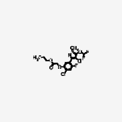 CCCOC(=O)COc1cc(-c2nn(C)c(OC(F)F)c2Cl)c(F)cc1Cl